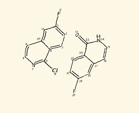 Fc1ccc2c(Cl)nccc2c1.O=c1[nH]ccc2cc(F)ccc12